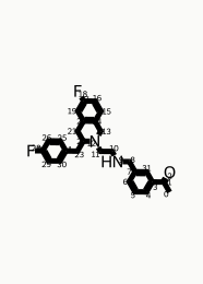 CC(=O)c1cccc(CNCCN2Cc3ccc(F)cc3CC2Cc2ccc(F)cc2)c1